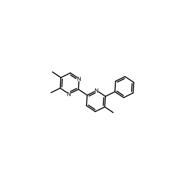 Cc1cnc(-c2ccc(C)c(-c3ccccc3)n2)nc1C